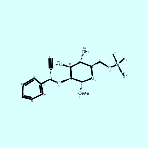 C#C[C@H](O[C@@H]1[C@@H](OC)O[C@H](CO[Si](C)(C)C(C)(C)C)[C@@H](O)[C@@H]1O)c1ccccc1